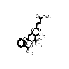 CCC1(C)CC(OC(=O)C=CC(=O)OC)C(C)C(C)(CC)N1OC(C)c1ccccc1